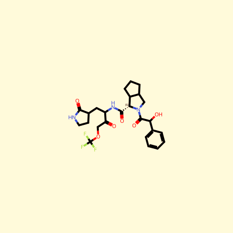 O=C1NCCC1CC(NC(=O)[C@@H]1C2CCCC2CN1C(=O)C(O)c1ccccc1)C(=O)COC(F)(F)F